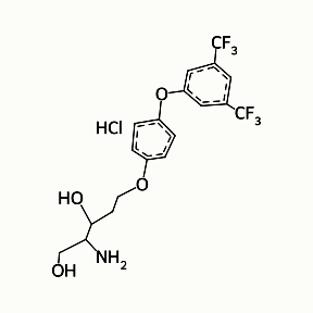 Cl.NC(CO)C(O)CCOc1ccc(Oc2cc(C(F)(F)F)cc(C(F)(F)F)c2)cc1